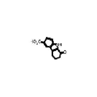 O=C(O)c1ccc2[nH]c3c(c2c1)CCCC3=O